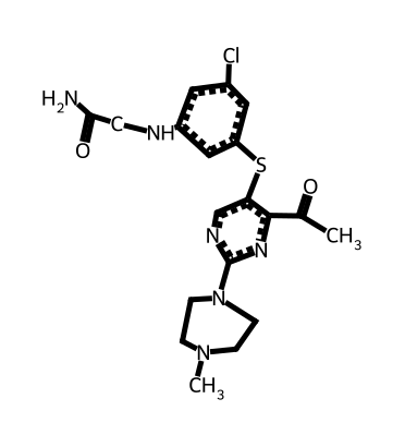 CC(=O)c1nc(N2CCN(C)CC2)ncc1Sc1cc(Cl)cc(NCC(N)=O)c1